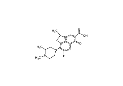 CC1CN(c2c(F)cc3c(=O)c(C(=O)O)cn4c3c2CC4C)CCN1C